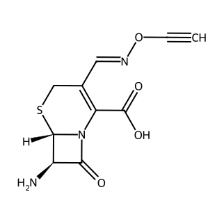 C#CON=CC1=C(C(=O)O)N2C(=O)[C@@H](N)[C@@H]2SC1